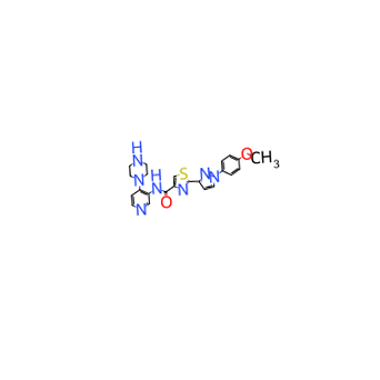 COc1ccc(-n2ccc(-c3nc(C(=O)Nc4cnccc4N4CCNCC4)cs3)n2)cc1